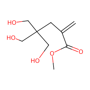 C=C(CC(CO)(CO)CO)C(=O)OC